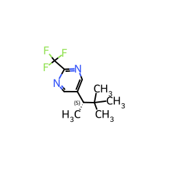 C[C@H](c1cnc(C(F)(F)F)nc1)C(C)(C)C